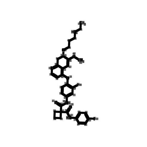 CCNCCCO[C@H]1Cc2nccc(Oc3ccc(NC(=O)C4(C(=O)Nc5ccc(F)cc5)CCC4)cc3F)c2C=C1OC